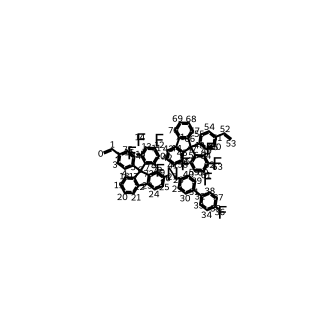 C=Cc1ccc(C2(c3c(F)cc(F)c(F)c3F)c3ccccc3-c3ccc(N(c4ccc(-c5ccc(F)cc5)cc4)c4ccc5c(c4)C(c4ccc(C=C)cc4)(c4c(F)cc(F)c(F)c4F)c4ccccc4-5)cc32)cc1